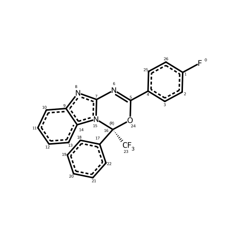 Fc1ccc(C2=Nc3nc4ccccc4n3[C@@](c3ccccc3)(C(F)(F)F)O2)cc1